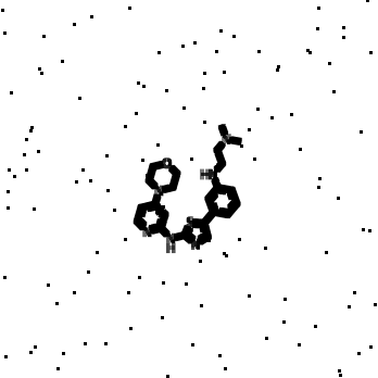 CN(C)CCNc1cccc(-c2cnc(Nc3cc(N4CCOCC4)ccn3)s2)c1